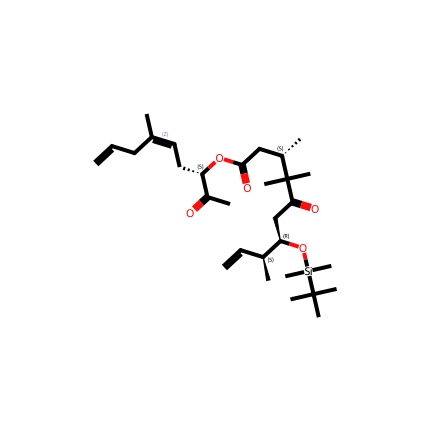 C=CC/C(C)=C\C[C@H](OC(=O)C[C@H](C)C(C)(C)C(=O)C[C@@H](O[Si](C)(C)C(C)(C)C)[C@@H](C)C=C)C(C)=O